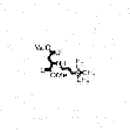 COC(=O)CC(NCCC[Si](C)(C)C)C(=O)OC